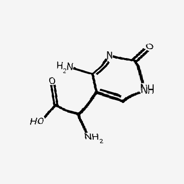 Nc1nc(=O)[nH]cc1C(N)C(=O)O